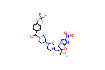 CC1(CN2CCN(C3CCN(C(=O)c4ccc(OC(F)(F)F)cc4)CC3)CC2)Cn2cc([N+](=O)[O-])nc2O1